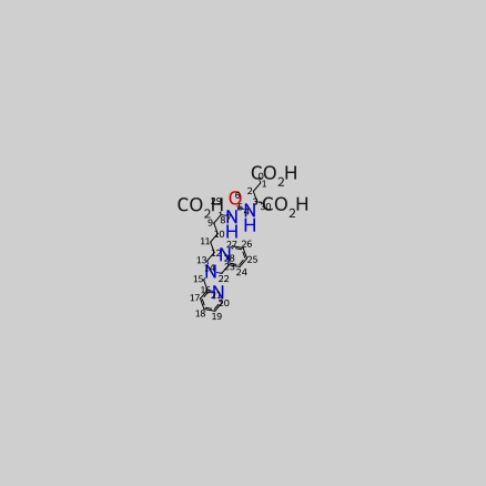 O=C(O)CC[C@H](NC(=O)N[C@@H](CCCCCN(Cc1ccccn1)Cc1ccccn1)C(=O)O)C(=O)O